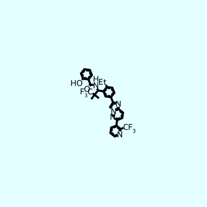 CCc1ccc(-c2cn3nc(-c4cccnc4C(F)(F)F)ccc3n2)cc1C(NC(=O)c1ccccc1O)C(C)(C)C(F)(F)F